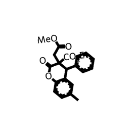 CCOC(=O)C1(CC(=O)OC)C(=O)Oc2ccc(C)cc2C1c1ccccc1